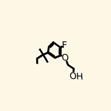 CCC(C)(C)c1ccc(F)c(OCCO)c1